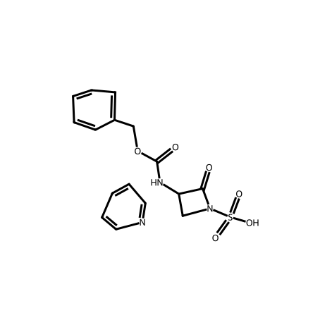 O=C(NC1CN(S(=O)(=O)O)C1=O)OCc1ccccc1.c1ccncc1